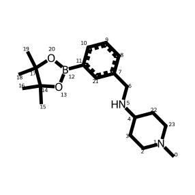 CN1CCC(NCc2cccc(B3OC(C)(C)C(C)(C)O3)c2)CC1